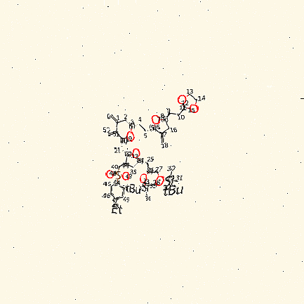 C=C1C[C@H](CC[C@@H]2O[C@@H](CCC3OCCO3)CC2=C)O[C@H](C[C@@H]2O[C@H](C[C@@H](CO[Si](C)(C)C(C)(C)C)O[Si](C)(C)C(C)(C)C)C[C@H]2CS(=O)(=O)c2ccc(CC)cc2)C1=C